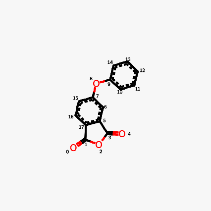 O=C1OC(=O)c2cc(Oc3ccccc3)ccc21